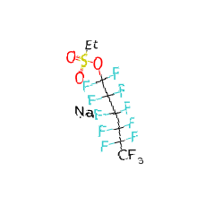 CCS(=O)(=O)OC(F)(F)C(F)(F)C(F)(F)C(F)(F)C(F)(F)C(F)(F)F.[Na]